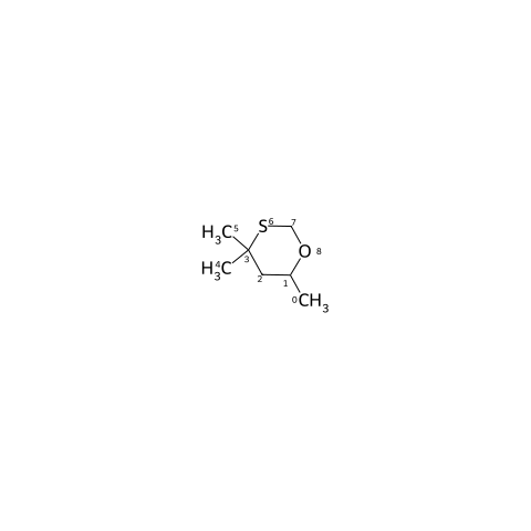 CC1CC(C)(C)SCO1